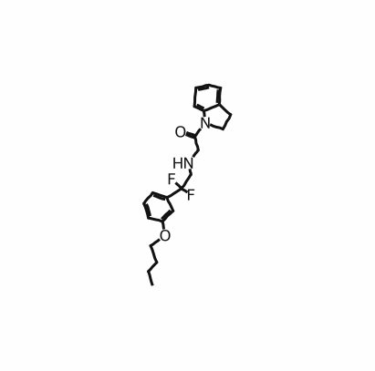 CCCCOc1cccc(C(F)(F)CNCC(=O)N2CCc3ccccc32)c1